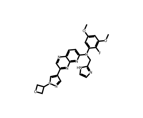 COc1cc(OC)c(F)c(N(Cc2ncc[nH]2)c2ccc3ncc(-c4cnn(C5COC5)c4)nc3n2)c1